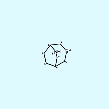 C1CC2CSCC1CN2